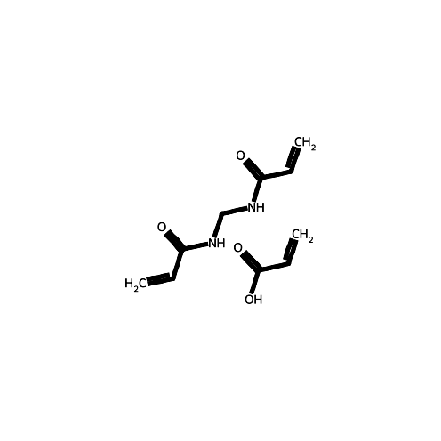 C=CC(=O)NCNC(=O)C=C.C=CC(=O)O